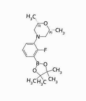 C[C@@H]1CN(c2cccc(B3OC(C)(C)C(C)(C)O3)c2F)C[C@H](C)O1